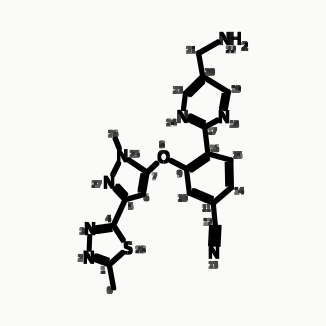 Cc1nnc(-c2cc(Oc3cc(C#N)ccc3-c3ncc(CN)cn3)n(C)n2)s1